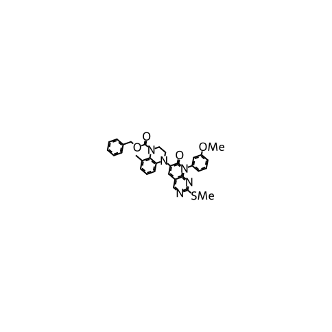 COc1cccc(-n2c(=O)c(N3CCN(C(=O)OCc4ccccc4)c4c(C)cccc43)cc3cnc(SC)nc32)c1